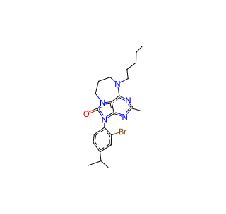 CCCCCN1CCCn2c(=O)n(-c3ccc(C(C)C)cc3Br)c3nc(C)nc1c32